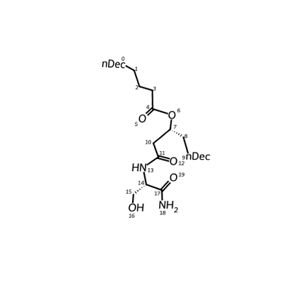 CCCCCCCCCCCCCC(=O)O[C@H](CCCCCCCCCCC)CC(=O)N[C@@H](CO)C(N)=O